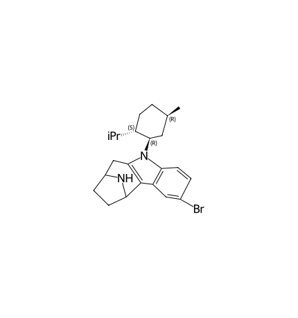 CC(C)[C@@H]1CC[C@@H](C)C[C@H]1n1c2c(c3cc(Br)ccc31)C1CCC(C2)N1